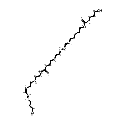 O=C(NCCSCC/N=C/OOCCSCCOC(=O)NCCSCC/N=C\OOCCCO)OCCCO